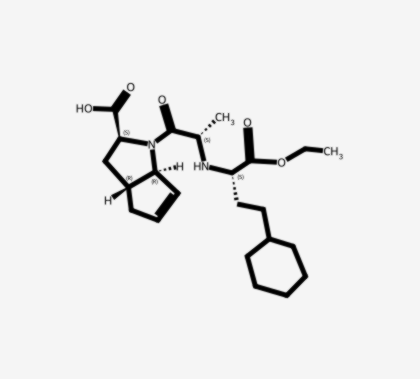 CCOC(=O)[C@H](CCC1CCCCC1)N[C@@H](C)C(=O)N1[C@H](C(=O)O)C[C@H]2CC=C[C@@H]21